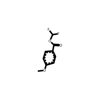 COc1ccc(C(=O)OC(F)F)cc1